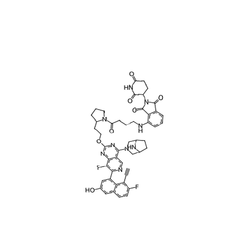 C#Cc1c(F)ccc2cc(O)cc(-c3ncc4c(N5CC6CCC(C5)N6)nc(OCCC5CCCN5C(=O)CCCNc5cccc6c5C(=O)N(C5CCC(=O)NC5=O)C6=O)nc4c3F)c12